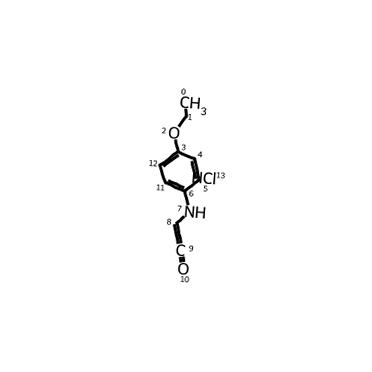 CCOc1ccc(NC=C=O)cc1.Cl